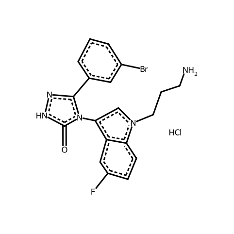 Cl.NCCCn1cc(-n2c(-c3cccc(Br)c3)n[nH]c2=O)c2cc(F)ccc21